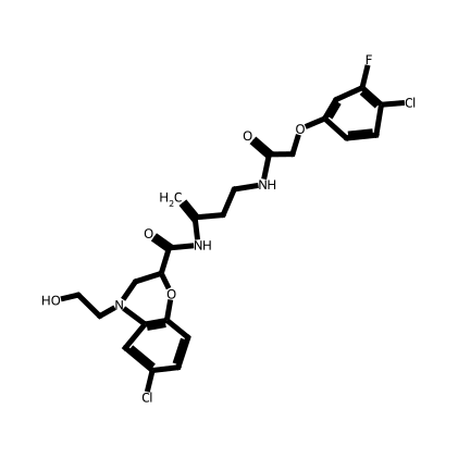 C=C(CCNC(=O)COc1ccc(Cl)c(F)c1)NC(=O)C1CN(CCO)c2cc(Cl)ccc2O1